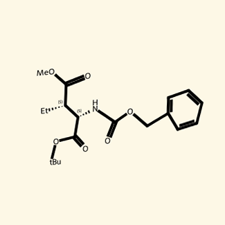 CC[C@H](C(=O)OC)[C@H](NC(=O)OCc1ccccc1)C(=O)OC(C)(C)C